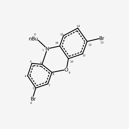 CCCCN1c2ccc(Br)cc2Oc2cc(Br)ccc21